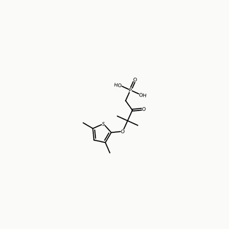 Cc1cc(C)c(OC(C)(C)C(=O)CP(=O)(O)O)s1